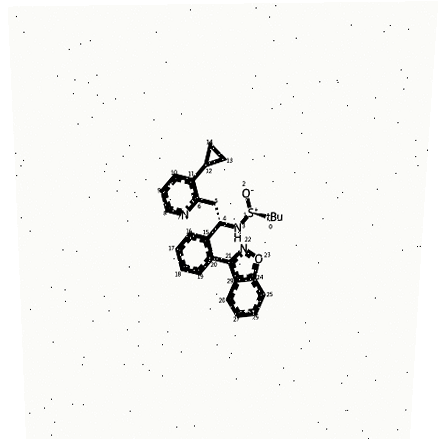 CC(C)(C)[S@+]([O-])N[C@@H](Cc1ncccc1C1CC1)c1ccccc1-c1noc2ccccc12